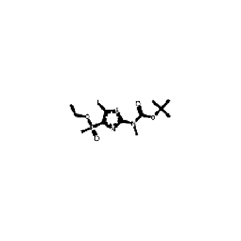 CCOP(C)(=O)c1nc(N(C)C(=O)OC(C)(C)C)sc1I